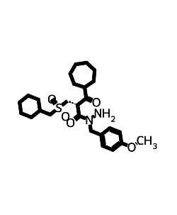 COc1ccc(CN(N)C(=O)[C@H](CS(=O)(=O)CC2CCCCC2)C(=O)C2CCCCCC2)cc1